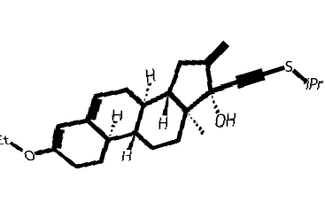 C=C1C[C@H]2[C@@H]3CC=C4C=C(OCC)CC[C@@H]4[C@H]3CC[C@]2(C)[C@]1(O)C#CSC(C)C